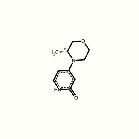 C[C@@H]1COCCN1c1cc[nH]c(=O)c1